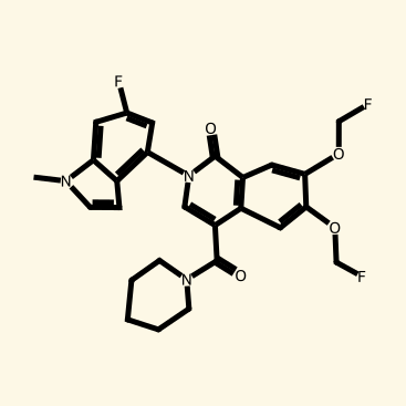 Cn1ccc2c(-n3cc(C(=O)N4CCCCC4)c4cc(OCF)c(OCF)cc4c3=O)cc(F)cc21